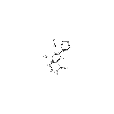 COc1ncccc1-c1cc(O)c2nc[nH]c(=O)c2c1